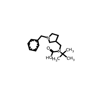 CC(C)(C)N(CC1CCN(Cc2ccccc2)C1)C(=O)O